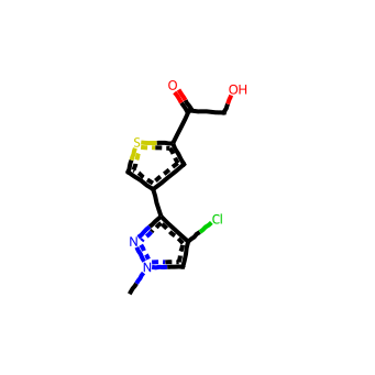 Cn1cc(Cl)c(-c2csc(C(=O)CO)c2)n1